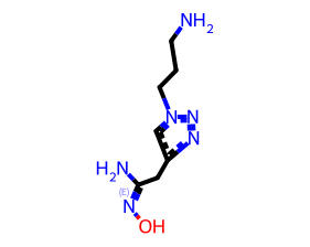 NCCCn1cc(C/C(N)=N\O)nn1